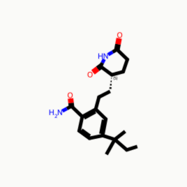 CCC(C)(C)c1ccc(C(N)=O)c(CC[C@H]2CCC(=O)NC2=O)c1